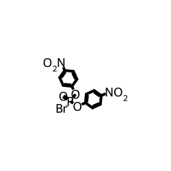 O=[N+]([O-])c1ccc(OP(=O)(Br)Oc2ccc([N+](=O)[O-])cc2)cc1